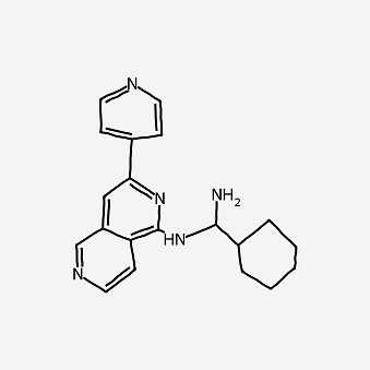 NC(Nc1nc(-c2ccncc2)cc2cnccc12)C1CCCCC1